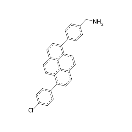 NCc1ccc(-c2ccc3ccc4c(-c5ccc(Cl)cc5)ccc5ccc2c3c54)cc1